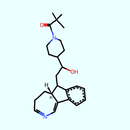 CC(C)(C)C(=O)N1CCC(C(O)CC2c3ccccc3C3=CN=CCC[C@@H]32)CC1